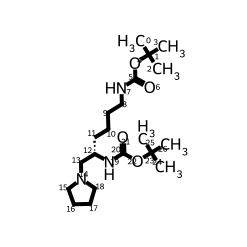 CC(C)(C)OC(=O)NCCCC[C@@H](CN1CCCC1)NC(=O)OC(C)(C)C